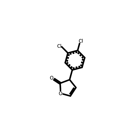 O=C1OC=CC1c1ccc(Cl)c(Cl)c1